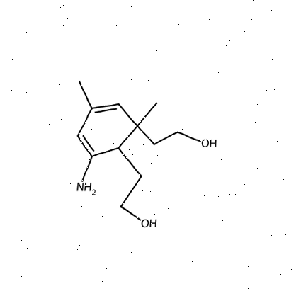 CC1=CC(C)(CCO)C(CCO)C(N)=C1